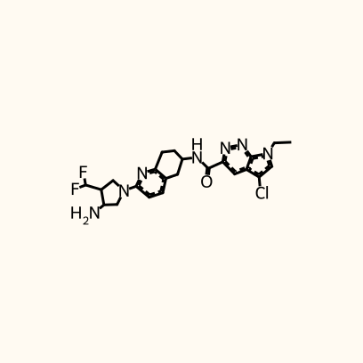 CCn1cc(Cl)c2cc(C(=O)NC3CCc4nc(N5CC(N)C(C(F)F)C5)ccc4C3)nnc21